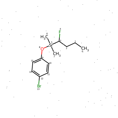 CCCC(F)[Si](C)(C)Oc1ccc(Br)cc1